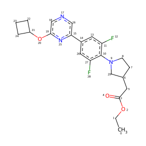 CCOC(=O)CC1CCN(c2c(F)cc(-c3cncc(OC4CCC4)n3)cc2F)C1